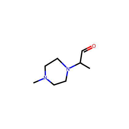 C[C](C=O)N1CCN(C)CC1